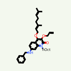 C=CCOc1c(OC/C=C(\C)CCC=C(C)C)c2ccc(NCc3ccccc3)cc2n(CCCCCCCC)c1=O